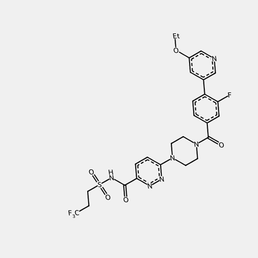 CCOc1cncc(-c2ccc(C(=O)N3CCN(c4ccc(C(=O)NS(=O)(=O)CCC(F)(F)F)nn4)CC3)cc2F)c1